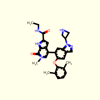 CCNC(=O)c1cc2c(-c3cc4c(cnn4C4CNC4)cc3Oc3c(C)cccc3C)cn(C)c(=O)c2[nH]1